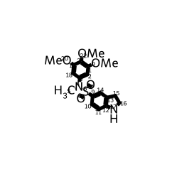 COc1cc(N(C)S(=O)(=O)c2ccc3c(c2)CCN3)cc(OC)c1OC